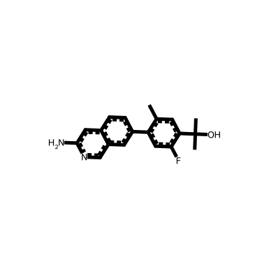 Cc1cc(C(C)(C)O)c(F)cc1-c1ccc2cc(N)ncc2c1